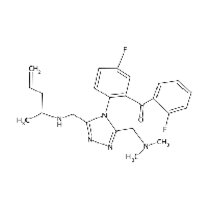 C=CCC(C)NCc1nnc(CN(C)C)n1-c1ccc(F)cc1C(=O)c1ccccc1F